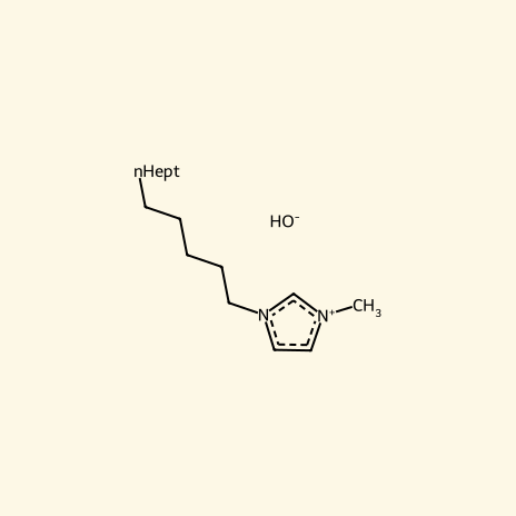 CCCCCCCCCCCCn1cc[n+](C)c1.[OH-]